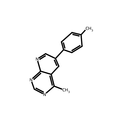 Cc1ccc(-c2cnc3ncnc(C)c3c2)cc1